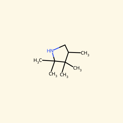 CC1CNC(C)(C)C1(C)C